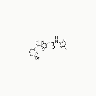 Cc1cnc(NC(=O)Cc2csc(Nc3cccc(Br)n3)n2)s1